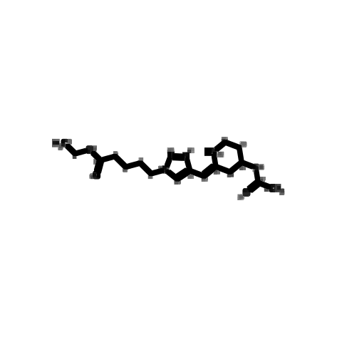 CCOC(=O)CCCCn1cc(C=C2CC(SC(C)=O)CCN2)nn1